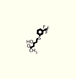 CC(=O)CC(O)CCSc1cccc(C(F)(F)F)c1